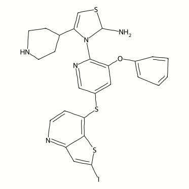 NC1SC=C(C2CCNCC2)N1c1ncc(Sc2ccnc3cc(I)sc23)cc1Oc1ccccc1